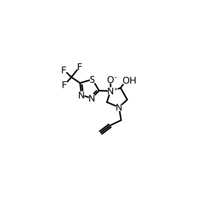 C#CCN1CC(O)[N+]([O-])(c2nnc(C(F)(F)F)s2)C1